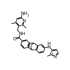 Cc1cc(N)nc(C)c1CNC(=O)c1ccc2c(c1)C1OC2c2ccc(Nc3ccnn3C)cc21